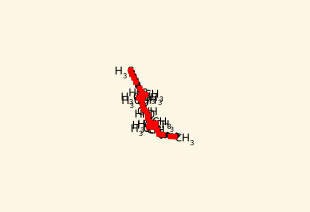 CCCCCCCCC=CCCCC(C(O)C(CC(=O)CCC(=O)NNC(=O)CCC(=O)CC(C(O)C(CCC/C=C\CCCCCCCC)C(C)(C)C)C(C)(C)C)C(C)(C)C)C(C)(C)C